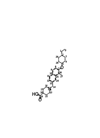 CC[C@H]1CC[C@@H](Oc2ccc3ccc(CN4CCC(C(=O)O)CC4)cc3c2C)CC1